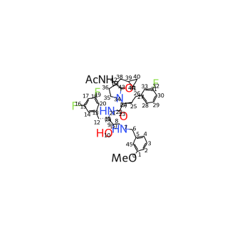 COc1cccc(CNC[C@H](O)[C@H](Cc2cc(F)cc(F)c2)NC(=O)[C@H](CCc2cccc(F)c2)N2CC[C@](CC3CC3)(NC(C)=O)C2=O)c1